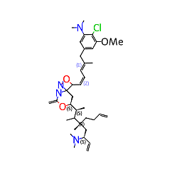 C=CCC[C@](C)(C[C@@H](C=C)N(C)C)C(C)[C@H](C)[C@@H]1CC23C(/C=C\C=C(/C)Cc4cc(OC)c(Cl)c(N(C)C)c4)ON2N3C(=C)O1